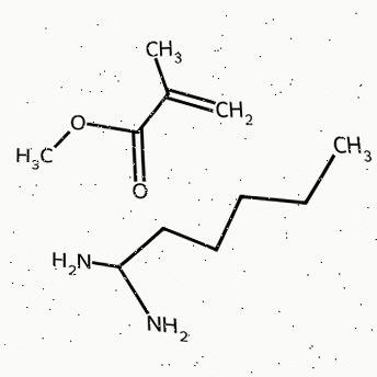 C=C(C)C(=O)OC.CCCCCC(N)N